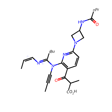 CC#CN(/C(=N/C=C\C)C(C)CC)c1nc(N2CC(NC(=O)CCC)C2)ccc1C(=O)C(C)C(=O)O